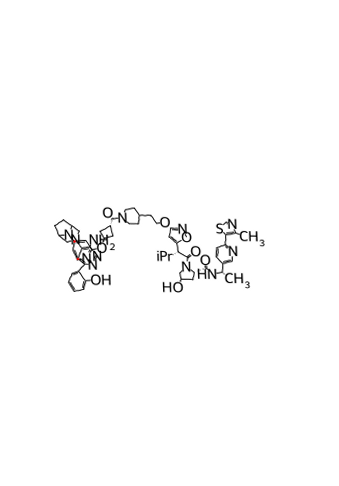 Cc1ncsc1-c1ccc([C@H](C)NC(=O)[C@@H]2C[C@@H](O)CN2C(=O)[C@@H](c2cc(OCCC3CCN(C(=O)[C@H]4C[C@H](Oc5cc(N6C7CCC6CN(c6cc(-c8ccccc8O)nnc6N)C7)ccn5)C4)CC3)no2)C(C)C)cn1